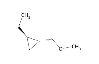 CC[C@@H]1C[C@H]1COC